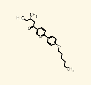 CCCCCCOc1ccc(-c2ccc(C(=O)C[C@H](C)CC)cn2)cc1